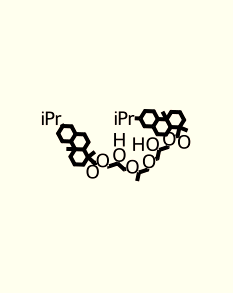 CC(COCC(O)COC(=O)C1(C)CCCC2(C)C3CCC(C(C)C)CC3CCC12)OCC(O)COC(=O)C1(C)CCCC2(C)C3CCC(C(C)C)CC3CCC12